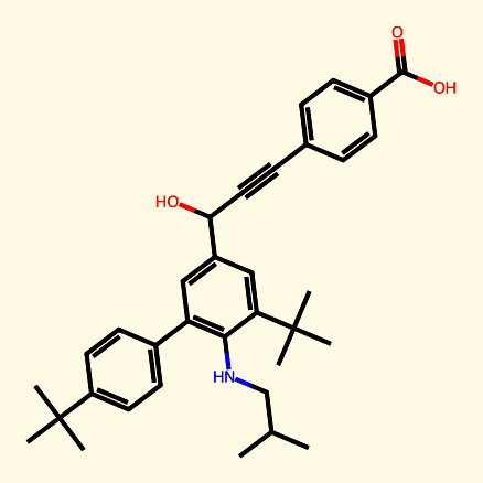 CC(C)CNc1c(-c2ccc(C(C)(C)C)cc2)cc(C(O)C#Cc2ccc(C(=O)O)cc2)cc1C(C)(C)C